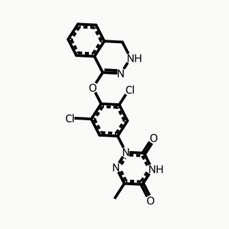 Cc1nn(-c2cc(Cl)c(OC3=NNCc4ccccc43)c(Cl)c2)c(=O)[nH]c1=O